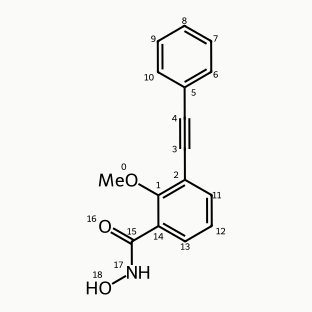 COc1c(C#Cc2ccccc2)cccc1C(=O)NO